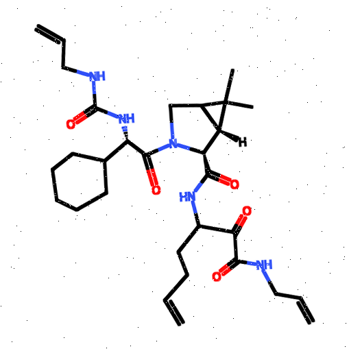 C=CCCC(NC(=O)[C@@H]1[C@@H]2C(CN1C(=O)[C@@H](NC(=O)NCC=C)C1CCCCC1)C2(C)C)C(=O)C(=O)NCC=C